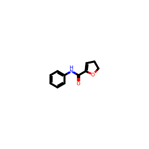 O=C(Nc1ccccc1)C1=CCCO1